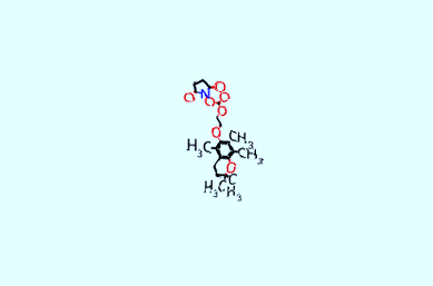 Cc1c(C)c2c(c(C)c1OCCOC(=O)ON1C(=O)CCC1=O)CCC(C)(C)O2